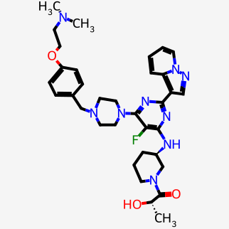 C[C@H](O)C(=O)N1CCC[C@@H](Nc2nc(-c3cnn4ccccc34)nc(N3CCN(Cc4ccc(OCCN(C)C)cc4)CC3)c2F)C1